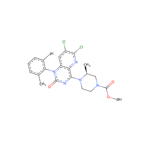 Cc1cccc(C(C)C)c1-n1c(=O)nc(N2CCN(C(=O)OC(C)(C)C)C[C@@H]2C)c2nc(Cl)c(Cl)cc21